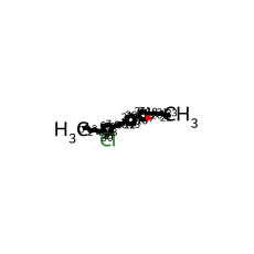 CCCCCc1ccc(C#CC2CCC([C@H]3CC[C@H](CCCCC)CC3)CC2)cc1Cl